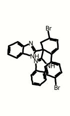 BrC1=CC=C(c2ccc(Br)cc2)C(c2nc3ccccc3[nH]2)(c2nc3ccccc3[nH]2)C1